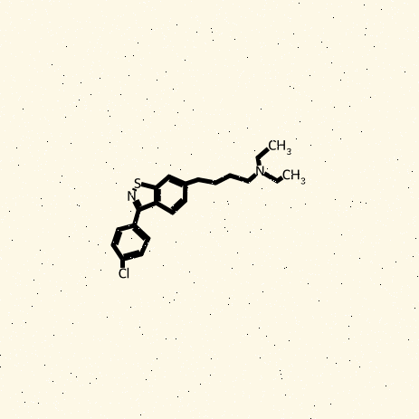 CCN(CC)CCCCc1ccc2c(-c3ccc(Cl)cc3)nsc2c1